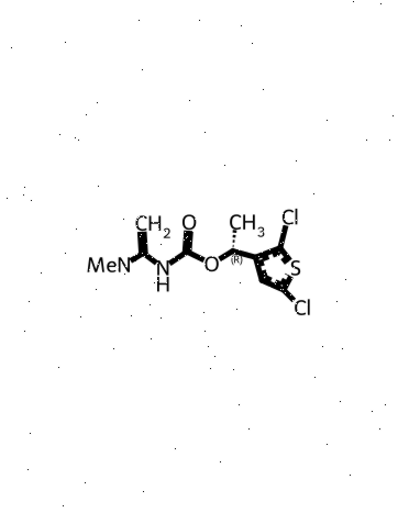 C=C(NC)NC(=O)O[C@H](C)c1cc(Cl)sc1Cl